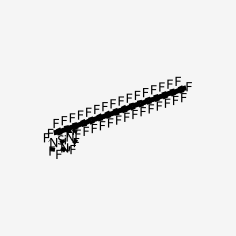 FN(F)[Si](N(F)F)(N(F)F)C(F)(F)C(F)(F)C(F)(F)C(F)(F)C(F)(F)C(F)(F)C(F)(F)C(F)(F)C(F)(F)C(F)(F)C(F)(F)C(F)(F)C(F)(F)C(F)(F)C(F)(F)C(F)(F)F